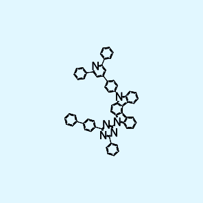 c1ccc(-c2ccc(-c3nc(-c4ccccc4)nc(-n4c5ccccc5c5c6c7ccccc7n(-c7ccc(-c8cc(-c9ccccc9)nc(-c9ccccc9)c8)cc7)c6ccc54)n3)cc2)cc1